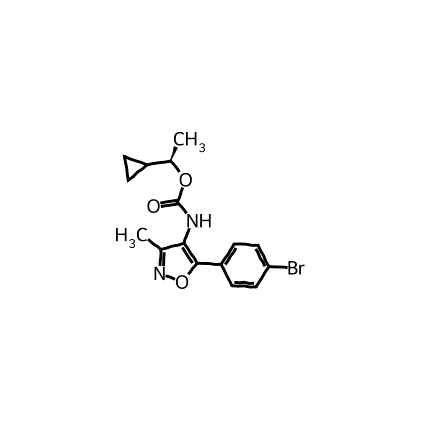 Cc1noc(-c2ccc(Br)cc2)c1NC(=O)O[C@H](C)C1CC1